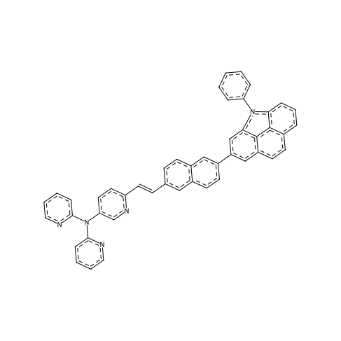 C(=C\c1ccc(N(c2ccccn2)c2ccccn2)cn1)/c1ccc2cc(-c3cc4ccc5cccc6c5c4c(c3)n6-c3ccccc3)ccc2c1